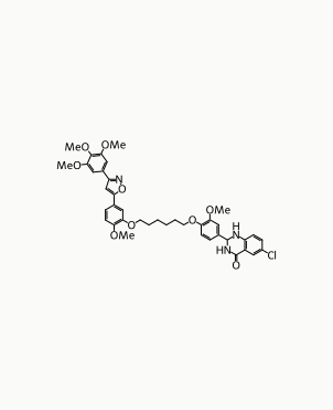 COc1cc(C2NC(=O)c3cc(Cl)ccc3N2)ccc1OCCCCCCOc1cc(-c2cc(-c3cc(OC)c(OC)c(OC)c3)no2)ccc1OC